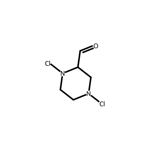 O=CC1CN(Cl)CCN1Cl